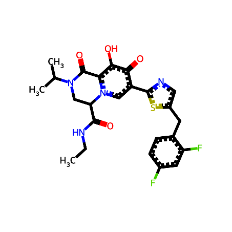 CCNC(=O)C1CN(C(C)C)C(=O)c2c(O)c(=O)c(-c3ncc(Cc4ccc(F)cc4F)s3)cn21